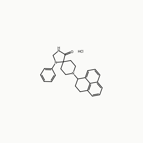 Cl.O=C1NCN(c2ccccc2)C12CCN(C1CCc3cccc4cccc1c34)CC2